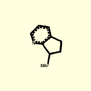 CC(C)(C)C1CCc2cccnc21